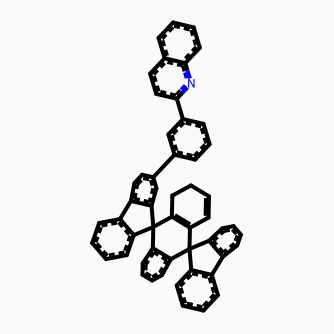 C1=CC2=C(CC1)C1(c3ccccc3-c3ccc(-c4cccc(-c5ccc6ccccc6n5)c4)cc31)c1ccccc1C21c2ccccc2-c2ccccc21